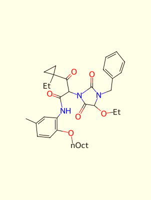 CCCCCCCCOc1ccc(C)cc1NC(=O)C(C(=O)C1(CC)CC1)N1C(=O)C(OCC)N(Cc2ccccc2)C1=O